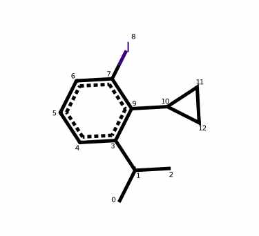 C[C](C)c1cccc(I)c1C1CC1